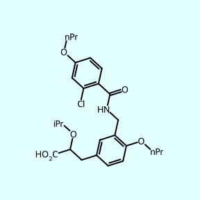 CCCOc1ccc(C(=O)NCc2cc(CC(OC(C)C)C(=O)O)ccc2OCCC)c(Cl)c1